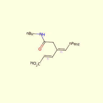 CCCCC/C=C(/C=C/C(=O)O)CC(=O)NCCCC